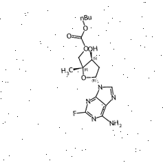 CCCCOC(=O)OC[C@@]1(C)O[C@@H](n2cnc3c(N)nc(F)nc32)C[C@@H]1O